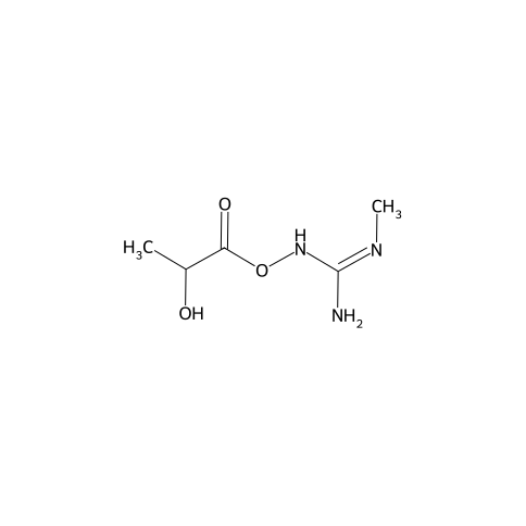 CN=C(N)NOC(=O)C(C)O